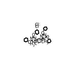 C[N+]1(c2nc(Oc3ccccc3)nc(Oc3ccccc3)n2)CC[N+](C)(c2nc(Oc3ccccc3)nc(Oc3ccccc3)n2)CC1.[Cl-].[Cl-]